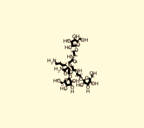 NCCCC[C@@](CCO[C@H]1O[C@H](CO)[C@@H](O)[C@H](O)[C@@H]1O)(C(N)=O)N(CC(=O)NCCO[C@H]1O[C@H](CO)[C@@H](O)[C@H](O)[C@@H]1O)CC(=O)NCCO[C@H]1O[C@H](CO)[C@@H](O)[C@H](O)[C@@H]1O